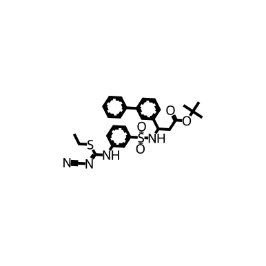 CCSC(=NC#N)Nc1cccc(S(=O)(=O)NC(CC(=O)OC(C)(C)C)c2cccc(-c3ccccc3)c2)c1